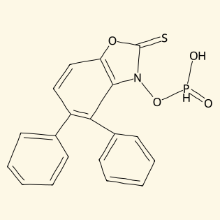 O=[PH](O)On1c(=S)oc2ccc(-c3ccccc3)c(-c3ccccc3)c21